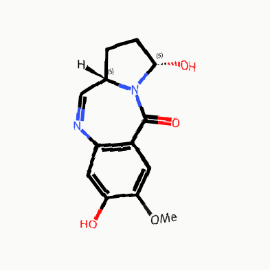 COc1cc2c(cc1O)N=C[C@@H]1CC[C@H](O)N1C2=O